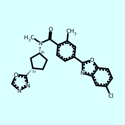 Cc1cc(-c2nc3cc(Cl)ccc3o2)ccc1C(=O)N(C)[C@@H]1CC[C@H](c2nnco2)C1